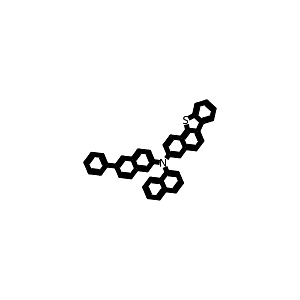 c1ccc(-c2ccc3cc(N(c4ccc5c(ccc6c7ccccc7sc56)c4)c4cccc5ccccc45)ccc3c2)cc1